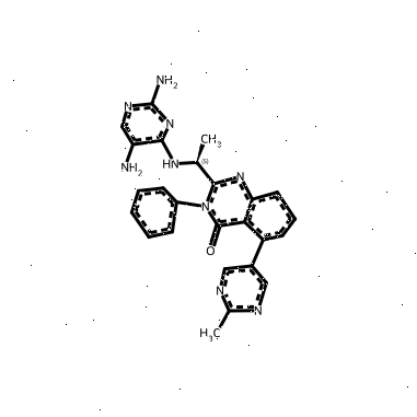 Cc1ncc(-c2cccc3nc([C@H](C)Nc4nc(N)ncc4N)n(-c4ccccc4)c(=O)c23)cn1